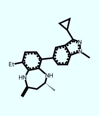 C=C1C[C@@H](C)Nc2c(-c3ccc4c(c3)c(C3CC3)nn4C)ccc(CC)c2N1